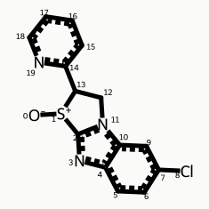 [O-][S+]1c2nc3ccc(Cl)cc3n2CC1c1ccccn1